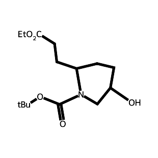 CCOC(=O)CCC1CCC(O)CN1C(=O)OC(C)(C)C